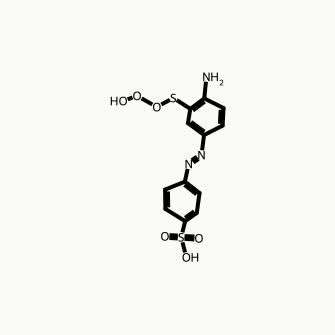 Nc1ccc(N=Nc2ccc(S(=O)(=O)O)cc2)cc1SOOO